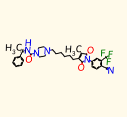 CC1=C(CCCCCCN2CCN(C(=O)N[C@@H](C)c3ccccc3)CC2)C(=O)N(c2ccc(C#N)c(C(F)(F)F)c2)C1=O